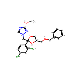 Clc1ccc(C2(Cn3cncn3)OCC(COCc3ccccc3)O2)c(Cl)c1.O=[N+]([O-])O